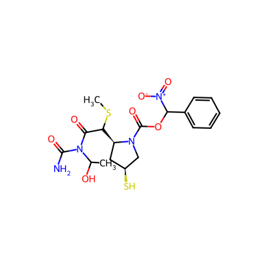 CSC(C(=O)N(C(N)=O)C(C)O)[C@@H]1C[C@H](S)CN1C(=O)OC(c1ccccc1)[N+](=O)[O-]